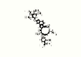 CCO[C@@H]1[C@@H](OC)[C@H](C)O[C@@H](O[C@@H]2CC3=C(C2)C2=C(CC3)C3=C(C2)C(=O)[C@H](C)[C@@H](O[C@H]2CC[C@H](N(C)C)[C@@H](C)O2)CCC[C@H](CC)OC(=O)C3)[C@@H]1OC